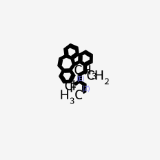 C=C(/C=C(Cl)\C=C/C)c1ccccc1C1(C)c2ccccc2C=Cc2ccc(F)cc21